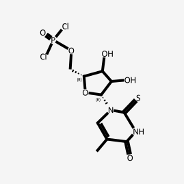 Cc1cn([C@@H]2O[C@H](COP(=O)(Cl)Cl)C(O)C2O)c(=S)[nH]c1=O